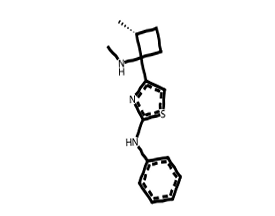 CNC1(c2csc(Nc3ccccc3)n2)CC[C@H]1C